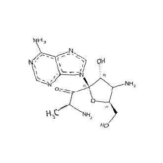 CC(N)C(=O)[C@@]1(n2cnc3c(N)ncnc32)O[C@H](CO)C(N)[C@H]1O